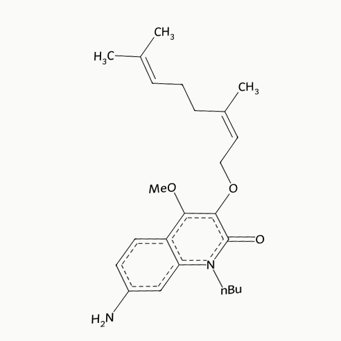 CCCCn1c(=O)c(OCC=C(C)CCC=C(C)C)c(OC)c2ccc(N)cc21